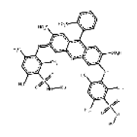 CCC(C)NS(=O)(=O)c1c(C)cc(C)c(/N=c2\cc3oc4cc(Nc5c(C)cc(C)c(S(=O)(=O)NC(C)CC)c5C)c(S(=O)(=O)O)cc4c(-c4ccccc4S(=O)(=O)O)c-3cc2S(=O)(=O)O)c1C